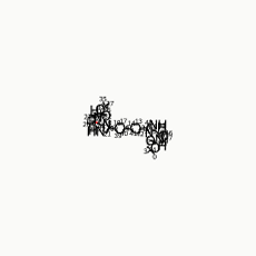 CC(C)(C)OC(=O)N1C(c2nc(-c3ccc(-c4ccc(-c5c[nH]c(C6[C@H]7CC[C@H](C7)N6C(=O)OC(C)(C)C)n5)cc4)cc3)c[nH]2)[C@H]2CC[C@@H]1C2